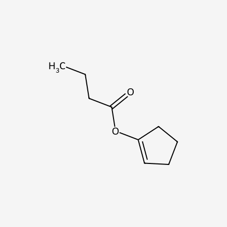 CCCC(=O)OC1=CCCC1